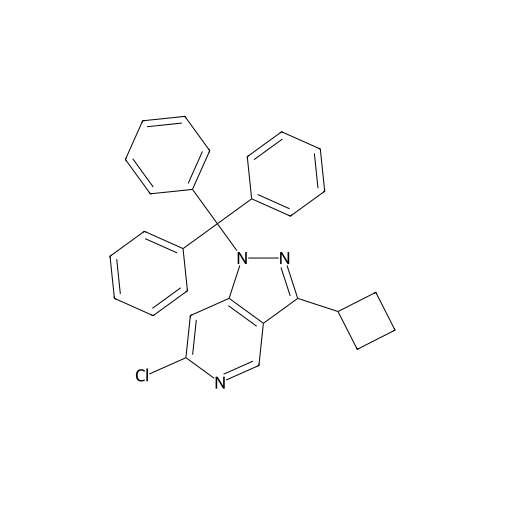 Clc1cc2c(cn1)c(C1CCC1)nn2C(c1ccccc1)(c1ccccc1)c1ccccc1